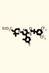 CCOC(=O)CC1CCN(c2cc(-c3ccc(F)cc3C)c(N(C)C(=O)C(C)(C)c3cc(C(F)(F)F)cc(C(F)(F)F)c3)cn2)CC1(C)C